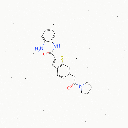 Nc1ccccc1NC(=O)c1cc2ccc(CC(=O)N3CCCC3)cc2s1